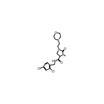 CN1C(=O)N(CCN2CCOCC2)CC1C(=O)NCc1ccc(Cl)cc1Cl